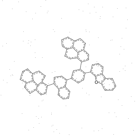 c1cc2ccc3ccc(-c4cc(-c5ccc(-c6ccc7ccc8cccc9ccc6c7c89)c6ccccc56)ccc4-c4cccc5c4oc4ccccc45)c4ccc(c1)c2c34